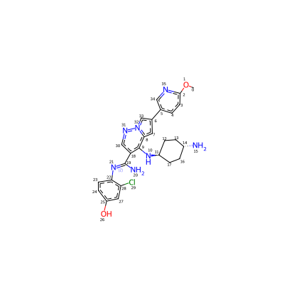 COc1ccc(-c2cc3c(N[C@H]4CC[C@H](N)CC4)c(/C(N)=N/c4ccc(O)cc4Cl)cnn3c2)cn1